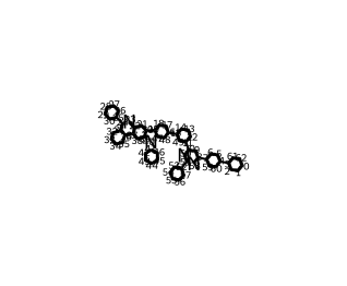 c1ccc(-c2ccc(-c3cc(-c4cccc(-c5ccc6c7cc8nc(-c9ccccc9)c9ccccc9c8cc7n(-c7ccccc7)c6c5)c4)nc(-c4ccccc4)n3)cc2)cc1